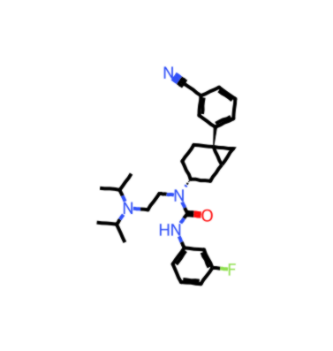 CC(C)N(CCN(C(=O)Nc1cccc(F)c1)[C@@H]1CC[C@]2(c3cccc(C#N)c3)CC2C1)C(C)C